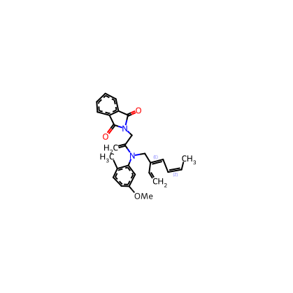 C=C/C(=C\C=C/C)CN(C(=C)CN1C(=O)c2ccccc2C1=O)c1cc(OC)ccc1C